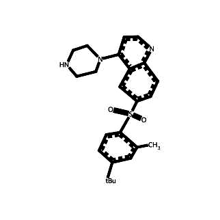 Cc1cc(C(C)(C)C)ccc1S(=O)(=O)c1ccc2nccc(N3CCNCC3)c2c1